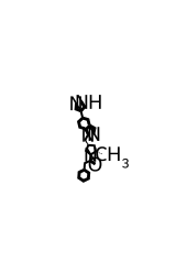 C[C@H]1C[C@H](Cn2ncc3cc(-c4cn[nH]c4)ccc32)CN1C(=O)Cc1ccccc1